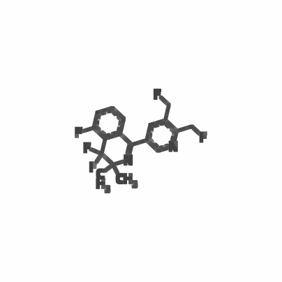 CC1(C)N=C(c2cnc(CF)c(CF)c2)c2cccc(F)c2C1(F)F